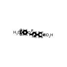 CS(=O)(=O)c1ccc(OCc2ncc(C3CCN(C(=O)O)CC3)cc2F)cc1